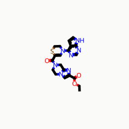 CCOC(=O)c1cn2c(n1)CN(C(=O)C1=CN(c3ncnc4[nH]ccc34)CCS1)CC2